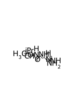 CC(C)C(C)(C)COCCNC(=O)C(N)CCCNC(=N)N